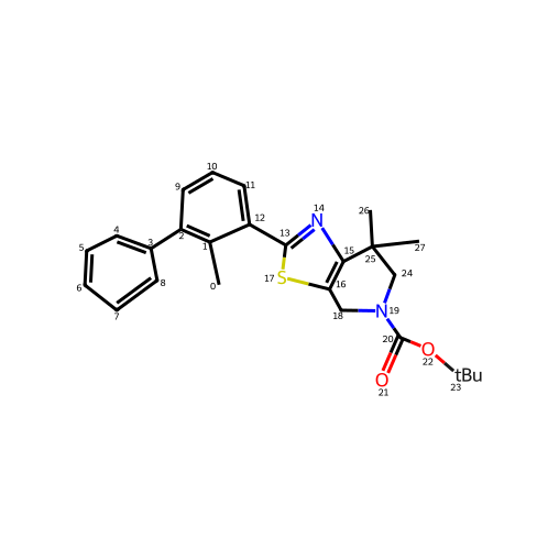 Cc1c(-c2ccccc2)cccc1-c1nc2c(s1)CN(C(=O)OC(C)(C)C)CC2(C)C